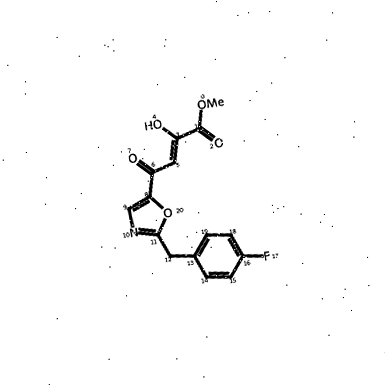 COC(=O)C(O)=CC(=O)c1cnc(Cc2ccc(F)cc2)o1